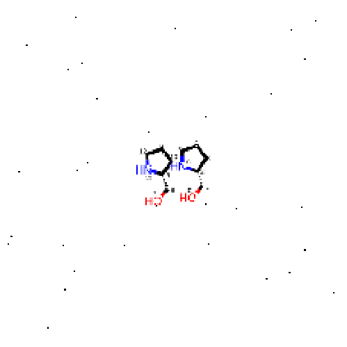 OC[C@H]1CCCN1.OC[C@H]1CCCN1